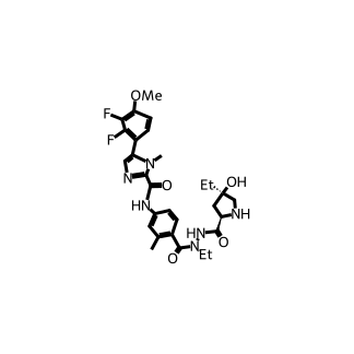 CCN(NC(=O)[C@H]1C[C@](O)(CC)CN1)C(=O)c1ccc(NC(=O)c2ncc(-c3ccc(OC)c(F)c3F)n2C)cc1C